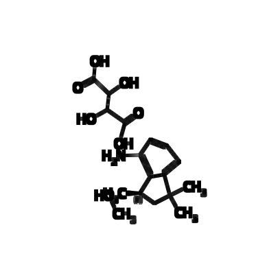 CO.C[C@@H]1CC(C)(C)c2cccc(N)c21.O=C(O)C(O)C(O)C(=O)O